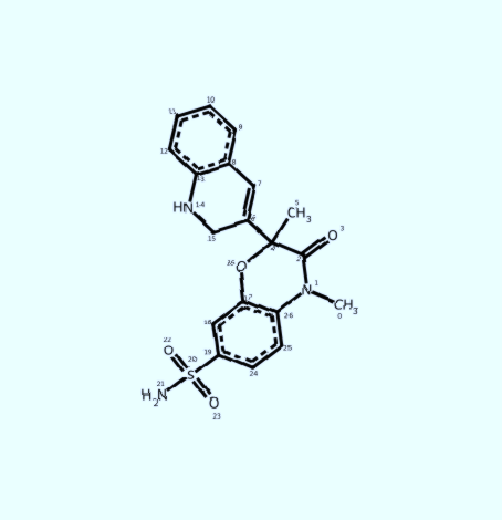 CN1C(=O)C(C)(C2=Cc3ccccc3NC2)Oc2cc(S(N)(=O)=O)ccc21